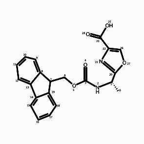 C[C@H](NC(=O)OCC1c2ccccc2-c2ccccc21)c1nc(C(=O)O)co1